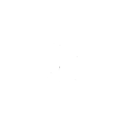 CN(C)[C@H]1CC[C@H](N(C)c2c(C(=O)C3CC3)cnc3ccc(Br)cc23)CC1